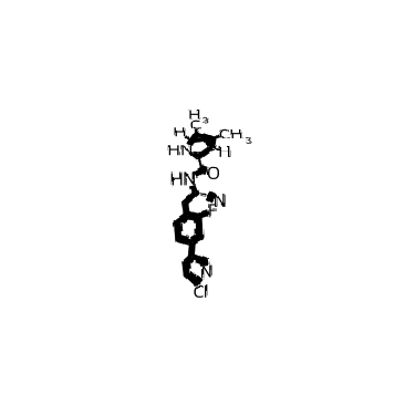 C[C@@H]1[C@H](C)[C@@H]2C[C@@H]1[C@@H](C(=O)N[C@H](C#N)Cc1ccc(-c3ccc(Cl)nc3)cc1F)N2